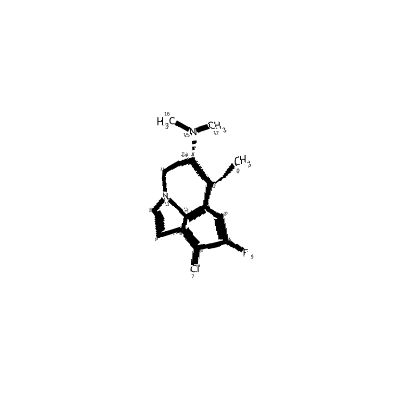 C[C@H]1c2cc(F)c(Cl)c3ccn(c23)C[C@@H]1N(C)C